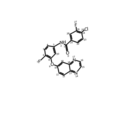 O=C(Nc1ccc(F)c(Oc2ccc3nccnc3c2)c1)c1ccc(Cl)c(F)c1